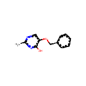 Cc1ncc(OCc2ccccc2)c(O)n1